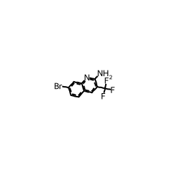 Nc1nc2cc(Br)ccc2cc1C(F)(F)F